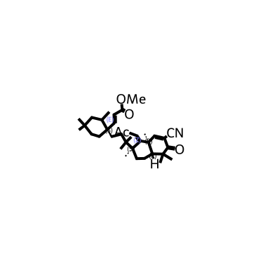 COC(=O)/C=C/[C@]1(CCC(C)(C)[C@]2(C)CC[C@H]3C(C)(C)C(=O)C(C#N)=C[C@]3(C)/C2=C/C(C)=O)CCC(C)(C)CC1C